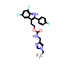 O=C(NCc1cn(CC(F)(F)F)cn1)OCCc1c(-c2ccc(F)cc2)[nH]c2c(F)cc(F)cc12